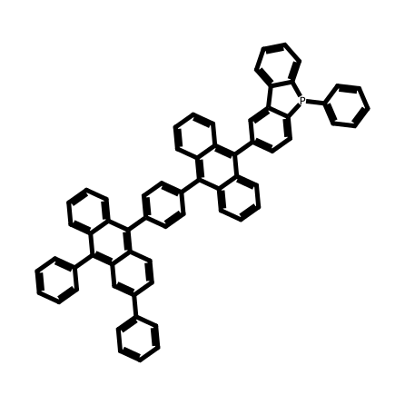 c1ccc(-c2ccc3c(-c4ccc(-c5c6ccccc6c(-c6ccc7c(c6)c6ccccc6p7-c6ccccc6)c6ccccc56)cc4)c4ccccc4c(-c4ccccc4)c3c2)cc1